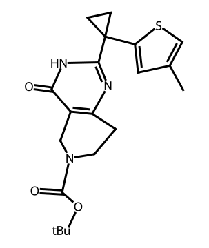 Cc1csc(C2(c3nc4c(c(=O)[nH]3)CN(C(=O)OC(C)(C)C)CC4)CC2)c1